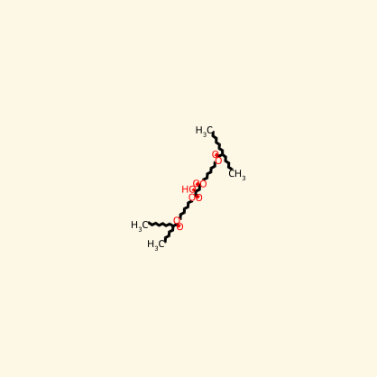 CCCCCCCCC(CCCCCC)C(=O)OCCCCCCCOC(=O)CC(O)C(=O)OCCCCCCCOC(=O)C(CCCCCC)CCCCCCCC